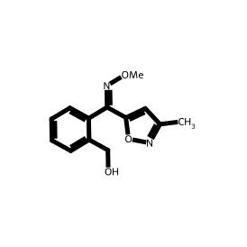 CON=C(c1cc(C)no1)c1ccccc1CO